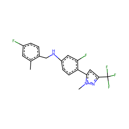 Cc1cc(F)ccc1CNc1ccc(-c2cc(C(F)(F)F)nn2C)c(F)c1